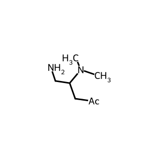 CC(=O)CC(CN)N(C)C